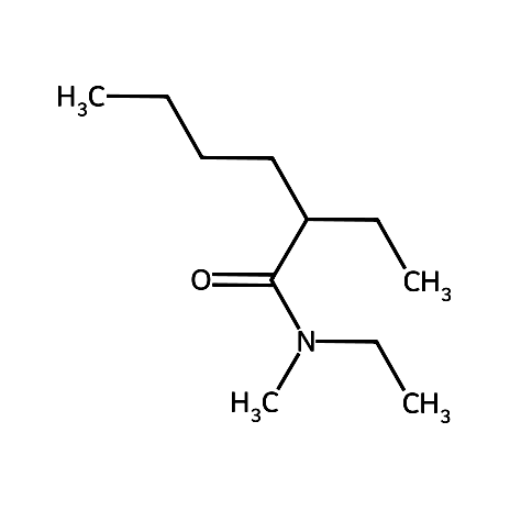 CCCCC(CC)C(=O)N(C)CC